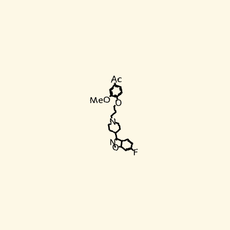 COc1cc(C(C)=O)ccc1OCCCN1CCC(C2=NOC3C=C(F)C=CC23)CC1